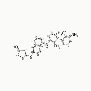 Cc1c(N)cccc1-c1cccc(Nc2nccc3cc(CN4CCC(O)C4)cnc23)c1C